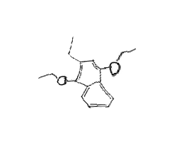 CCOc1cc(CC)c(OCC)c2ccccc12